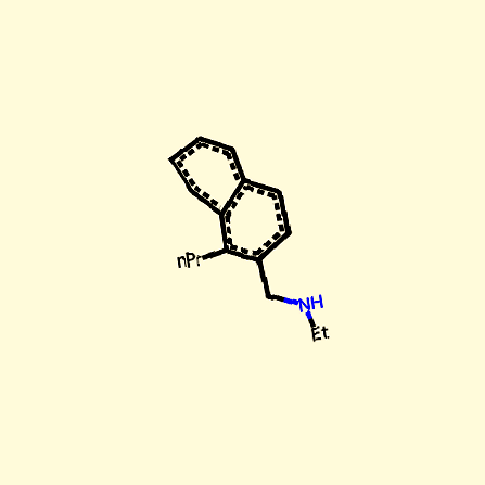 CCCc1c(CNCC)ccc2ccccc12